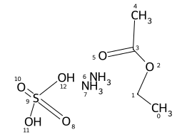 CCOC(C)=O.N.N.O=S(=O)(O)O